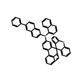 c1ccc(-c2ccc3cc(N(c4ccc5c(c4)C4(c6ccccc6Sc6ccccc64)c4cccc6cccc-5c46)c4cccc5ccccc45)ccc3c2)cc1